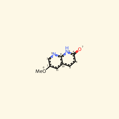 COc1cnc2[nH]c(=O)ccc2c1